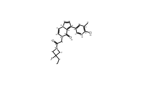 CCC1(F)CN(C(=O)Cn2ccn3ccc(-c4cnc(Cl)c(C)c4)c3c2=O)C1